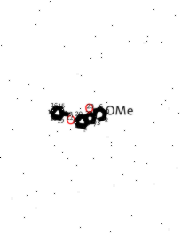 CO[C@H]1CC[C@]2(CC1)Cc1ccc(OCc3ccccc3)cc1C2=O